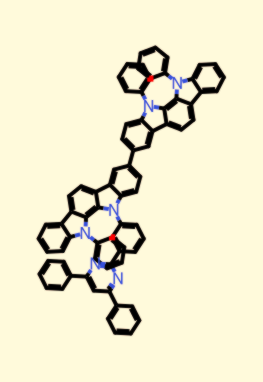 c1ccc(-c2cc(-c3ccccc3)nc(-c3cccc(-n4c5ccc(-c6ccc7c(c6)c6ccc8c9ccccc9n(-c9ccccc9)c8c6n7-c6ccccc6)cc5c5ccc6c7ccccc7n(-c7ccccc7)c6c54)c3)n2)cc1